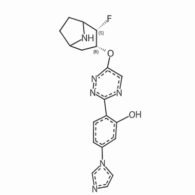 Oc1cc(-n2ccnc2)ccc1-c1ncc(O[C@@H]2CC3CCC(N3)[C@@H]2F)nn1